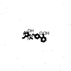 CCc1nnc(O)c2c1nc(C)n2Cc1ccc(-c2ccccc2C(=O)O)cc1